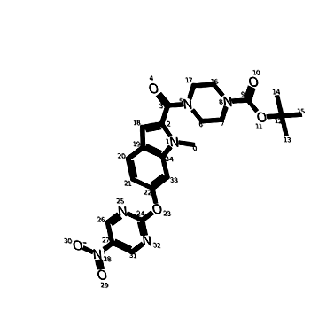 Cn1c(C(=O)N2CCN(C(=O)OC(C)(C)C)CC2)cc2ccc(Oc3ncc([N+](=O)[O-])cn3)cc21